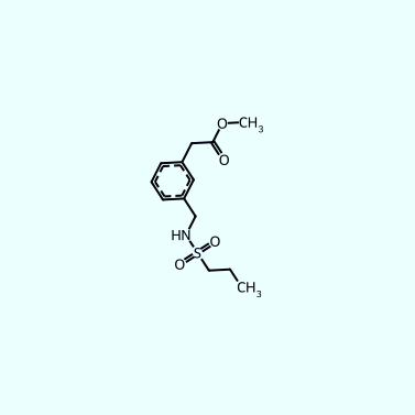 CCCS(=O)(=O)NCc1cccc(CC(=O)OC)c1